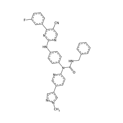 Cn1cc(-c2ccc(N(C(=O)NCc3ccccc3)c3ccc(Nc4ncc(C#N)c(-c5cccc(F)c5)n4)cc3)nc2)cn1